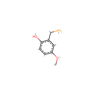 COc1ccc(O)c(CP)c1